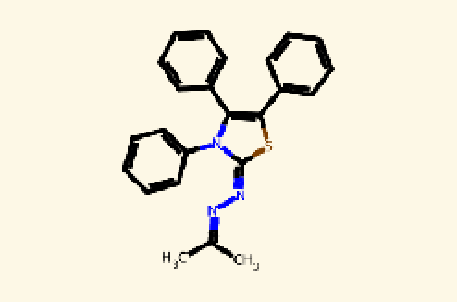 CC(C)=NN=c1sc(-c2ccccc2)c(-c2ccccc2)n1-c1ccccc1